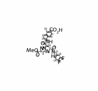 COC(=O)c1cc2nc(C(=O)NCc3ccc(F)c(F)c3)cc(C(=O)N[C@H]3CCc4c3ccc(C(=O)O)c4C)n2n1